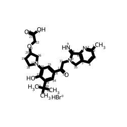 Br.Cc1ccc2c(n1)C(=N)N(CC(=O)c1cc(N3CCC(OCC(=O)O)C3)c(O)c(C(C)(C)C)c1)C2